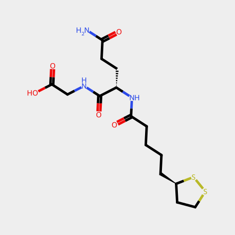 NC(=O)CC[C@H](NC(=O)CCCC[C@@H]1CCSS1)C(=O)NCC(=O)O